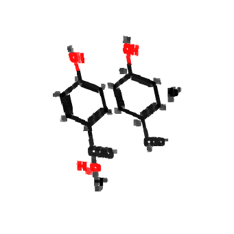 O.O=C([O-])c1ccc(O)cc1.O=C([O-])c1ccc(O)cc1.[H+].[Rb+]